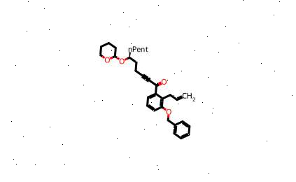 C=CCc1c(OCc2ccccc2)cccc1C(=O)C#CCC[C@H](CCCCC)OC1CCCCO1